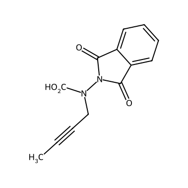 CC#CCN(C(=O)O)N1C(=O)c2ccccc2C1=O